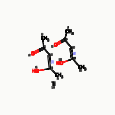 CC(=O)/C=C(/C)O.CC(=O)/C=C(/C)O.[Ti]